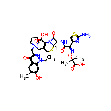 CCn1nc(C[N+]2(CC3=C(C(=O)O)N4C(=O)[C@@H](NC(=O)/C(=N\OC(C)(C)C(=O)O)c5csc(N)n5)[C@H]4SC3)CCCC2)c(=O)c2cc(C)c(O)cc21